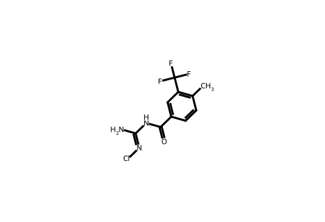 Cc1ccc(C(=O)NC(N)=NCl)cc1C(F)(F)F